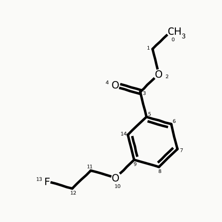 CCOC(=O)c1cccc(OCCF)c1